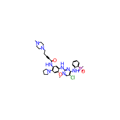 COc1cc(N2CCCC2)c(NC(=O)C#CCCN2CCN(C)CC2)cc1Nc1ncc(Cl)c(Nc2ccccc2P(C)(C)=O)n1